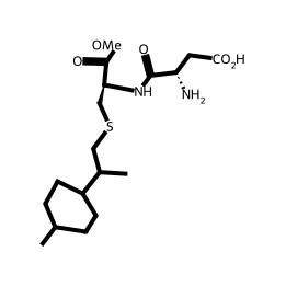 COC(=O)[C@H](CSCC(C)C1CCC(C)CC1)NC(=O)[C@@H](N)CC(=O)O